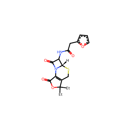 CCC1(CC)OC(=O)C2=C1CS[C@H]1C(NC(=O)Cc3ccco3)C(=O)N21